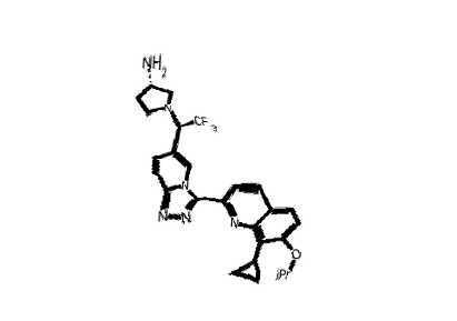 CC(C)Oc1ccc2ccc(-c3nnc4ccc([C@@H](N5CC[C@H](N)C5)C(F)(F)F)cn34)nc2c1C1CC1